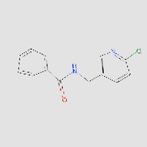 O=C(NCc1ccc(Cl)nc1)c1ccccc1